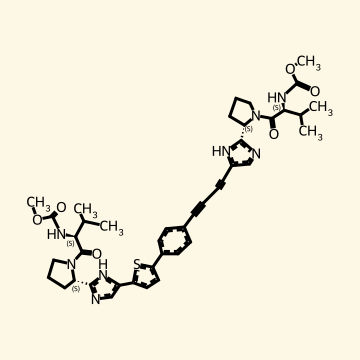 COC(=O)N[C@H](C(=O)N1CCC[C@H]1c1ncc(C#CC#Cc2ccc(-c3ccc(-c4cnc([C@@H]5CCCN5C(=O)[C@@H](NC(=O)OC)C(C)C)[nH]4)s3)cc2)[nH]1)C(C)C